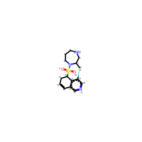 CC1CNCCCN1S(=O)(=O)C1CC=Cc2cncc(F)c21